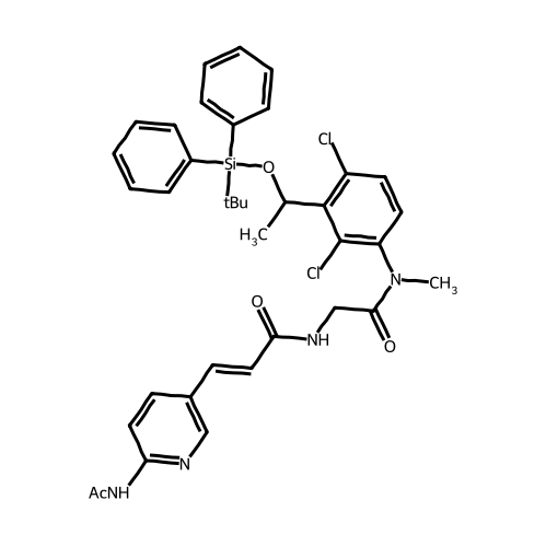 CC(=O)Nc1ccc(C=CC(=O)NCC(=O)N(C)c2ccc(Cl)c(C(C)O[Si](c3ccccc3)(c3ccccc3)C(C)(C)C)c2Cl)cn1